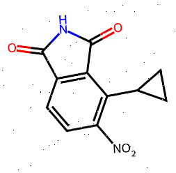 O=C1NC(=O)c2c1ccc([N+](=O)[O-])c2C1CC1